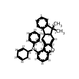 CC1(C)c2ccccc2C2C=c3c(oc4cccc(N(c5ccccc5)C5C=CC=CC5)c34)=CC21